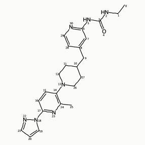 CCNC(=O)Nc1cc(CC2CCN(c3ccc(-n4cccn4)nc3C)CC2)ccn1